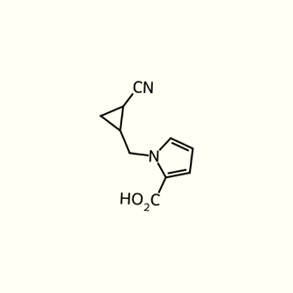 N#CC1CC1Cn1cccc1C(=O)O